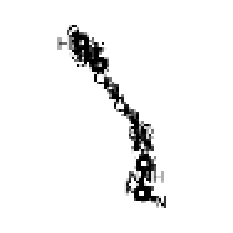 N#Cc1ccc2ncnc(N[C@H]3CC[C@@H](N4CCN(S(=O)(=O)CCOCCOCCOCCOc5ccc6c(c5)C(=O)N(C5CCC(=O)NC5=O)C6=O)CC4)CC3)c2c1